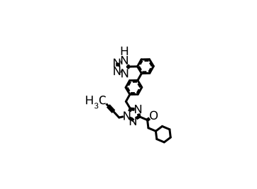 CC#CCn1nc(C(=O)CC2CCCCC2)nc1Cc1ccc(-c2ccccc2-c2nnn[nH]2)cc1